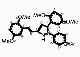 COc1ccc(OC)c(C=CC2=CC(c3cc(OC)ccc3OC)N(c3ccc(C(C)C)cc3)N2)c1